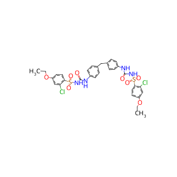 CCOc1ccc(S(=O)(=O)NC(=O)Nc2ccc(Cc3ccc(NC(=O)NS(=O)(=O)c4ccc(OCC)cc4Cl)cc3)cc2)c(Cl)c1